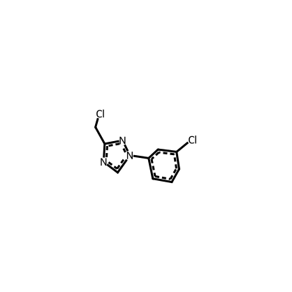 ClCc1ncn(-c2cccc(Cl)c2)n1